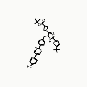 CC(C)(C)OC(=O)C1CN(C(=O)[C@H](Cc2ccc(-c3ncc(-c4ccc(O)cc4)cn3)cc2)NC(=O)c2ccc(C(C)(C)C)s2)C1